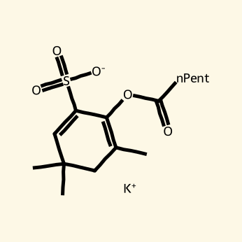 CCCCCC(=O)OC1=C(C)CC(C)(C)C=C1S(=O)(=O)[O-].[K+]